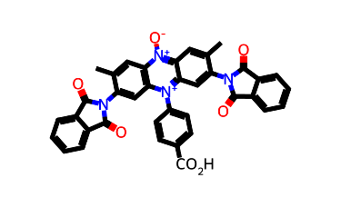 Cc1cc2c(cc1N1C(=O)c3ccccc3C1=O)[n+](-c1ccc(C(=O)O)cc1)c1cc(N3C(=O)c4ccccc4C3=O)c(C)cc1[n+]2[O-]